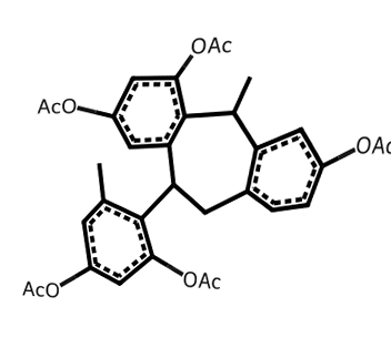 CC(=O)Oc1cc(C)c(C2Cc3ccc(OC(C)=O)cc3C(C)c3c(OC(C)=O)cc(OC(C)=O)cc32)c(OC(C)=O)c1